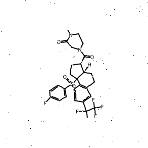 CN1CCN(C(=O)[C@@H]2CC[C@@]3(S(=O)(=O)c4ccc(F)cc4)c4ccc(C(C)(F)C(F)(F)F)cc4CC[C@@H]23)CC1=O